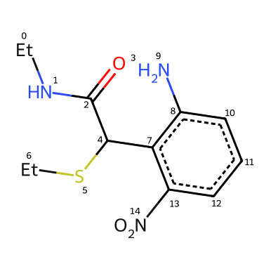 CCNC(=O)C(SCC)c1c(N)cccc1[N+](=O)[O-]